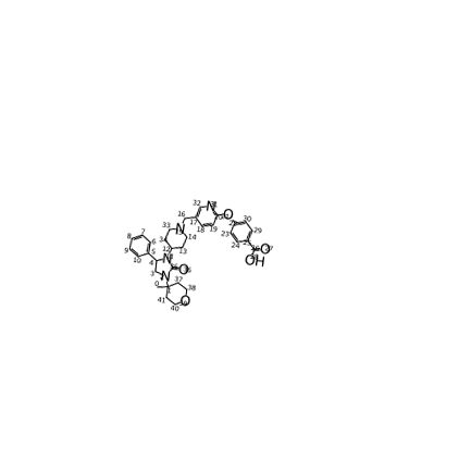 CC1(N2CC(c3ccccc3)N(C3CCN(Cc4ccc(Oc5ccc(C(=O)O)cc5)nc4)CC3)C2=O)CCOCC1